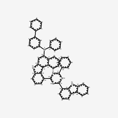 c1ccc(-c2cccc(N(c3ccccc3)c3cc4oc5cccc(-c6nc(-c7ccccc7)nc(-c7cccc8c7oc7ccccc78)n6)c5c4c4ccccc34)c2)cc1